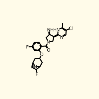 CC1=C(Cl)C=N/C(=C2\CN(C(=O)c3ccc(F)cc3OC3CC4CC(F)C(C3)N4)CC2=N)N1